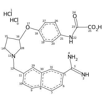 Cl.Cl.N=C(N)c1ccc2ccc(CN3CCC(Oc4ccc(NC(=O)C(=O)O)cc4)C3)cc2c1